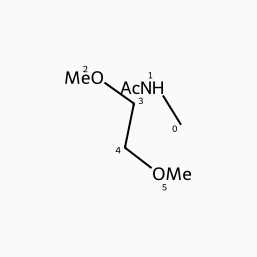 CNC(C)=O.COCCOC